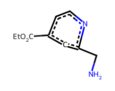 CCOC(=O)c1ccnc(CN)c1